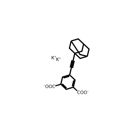 O=C([O-])c1cc(C#CC23CC4CC(CC(C4)C2)C3)cc(C(=O)[O-])c1.[K+].[K+]